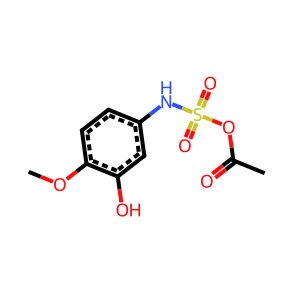 COc1ccc(NS(=O)(=O)OC(C)=O)cc1O